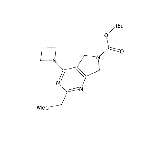 COCc1nc2c(c(N3CCC3)n1)CN(C(=O)OC(C)(C)C)C2